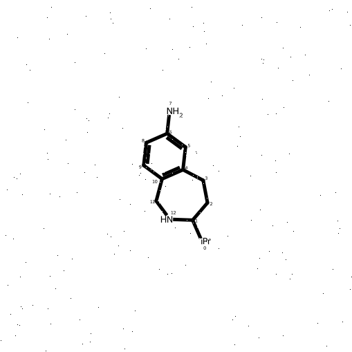 CC(C)C1CCc2cc(N)ccc2CN1